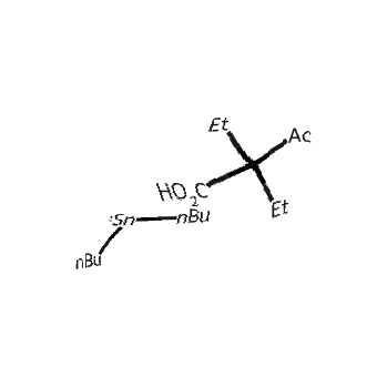 CCC(CC)(C(C)=O)C(=O)O.CCC[CH2][Sn][CH2]CCC